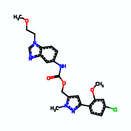 COCCn1cnc2cc(NC(=O)OCc3cc(-c4ccc(Cl)cc4OC)nn3C)ccc21